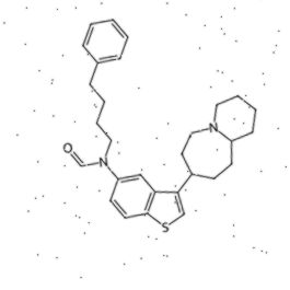 O=CN(CCCCc1ccccc1)c1ccc2scc(C3CCC4CCCCN4CC3)c2c1